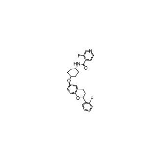 O=C(N[C@H]1CC[C@H](Oc2ccc3c(c2)CCC(c2ccccc2F)O3)CC1)c1ccncc1F